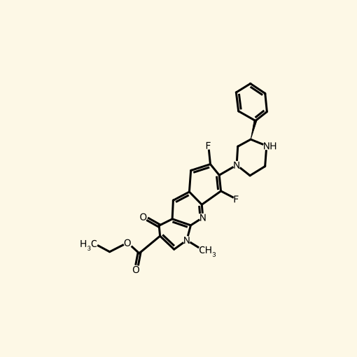 CCOC(=O)c1cn(C)c2nc3c(F)c(N4CCN[C@H](c5ccccc5)C4)c(F)cc3cc2c1=O